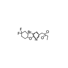 CCS(=O)(=O)Cc1cnc(OC2CCC(F)(F)CC2)c(Br)c1